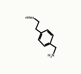 CCCCC[CH]CCc1ccc(CN)cc1